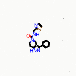 O=C(NCc1nccs1)N1CCc2[nH]nc(-c3ccccc3)c2C1